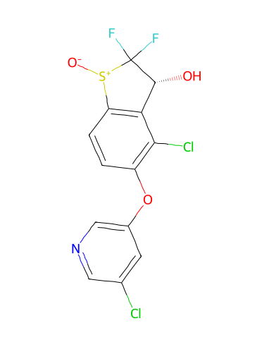 [O-][S+]1c2ccc(Oc3cncc(Cl)c3)c(Cl)c2[C@@H](O)C1(F)F